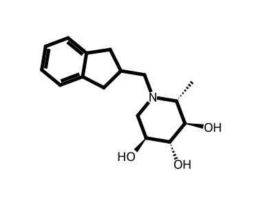 C[C@@H]1[C@@H](O)[C@H](O)[C@@H](O)CN1CC1Cc2ccccc2C1